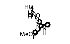 COc1ccc(Cc2nc3c(c4c2[nH]c2ccccc24)CCN(CC(=O)NCC(O)CO)C3)cc1F